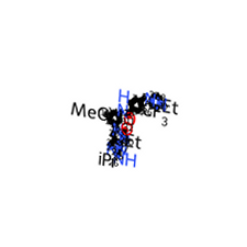 CCN1CCN(Cc2ccc(C(=O)Nc3cc(OC)cc(N4Cc5cnc(NC(C)C)nc5N(CC)C4=O)c3)cc2C(F)(F)F)CC1